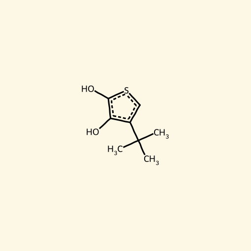 CC(C)(C)c1csc(O)c1O